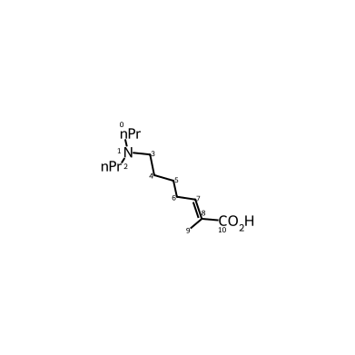 CCCN(CCC)CCCCC=C(C)C(=O)O